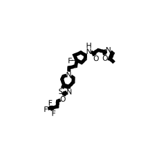 Cc1cnc(CC(=O)N[C@H]2CC[C@](F)(CCN3CCc4nc(OCCC(F)(F)F)sc4CC3)CC2)o1